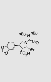 CCCCN(CCCC)C(=C=O)N1C[C@H](c2ccc3c(c2)OCO3)[C@H](C(=O)O)[C@H]1CCC